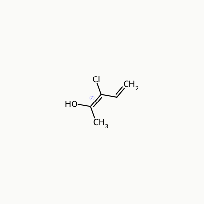 C=C/C(Cl)=C(\C)O